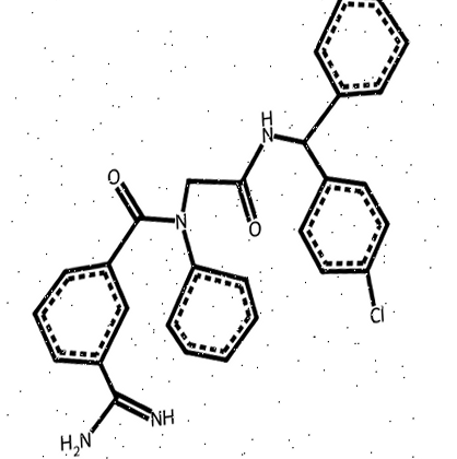 N=C(N)c1cccc(C(=O)N(CC(=O)NC(c2ccccc2)c2ccc(Cl)cc2)c2ccccc2)c1